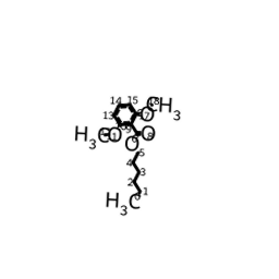 CCCCCCOC(=O)c1c(OC)cccc1OC